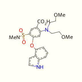 CNS(=O)(=O)c1cc(C(=O)O)c(N(CCOC)CCOC)cc1Oc1cccc2[nH]ccc12